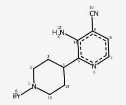 CC(C)N1CCC(c2nccc(C#N)c2N)CC1